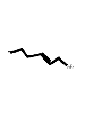 [CH2]CCC/C=C/CCF